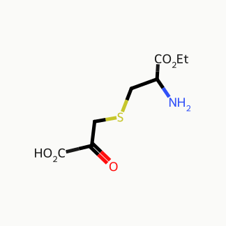 CCOC(=O)C(N)CSCC(=O)C(=O)O